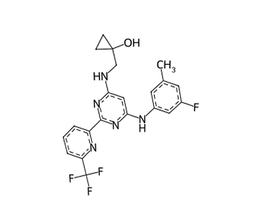 Cc1cc(F)cc(Nc2cc(NCC3(O)CC3)nc(-c3cccc(C(F)(F)F)n3)n2)c1